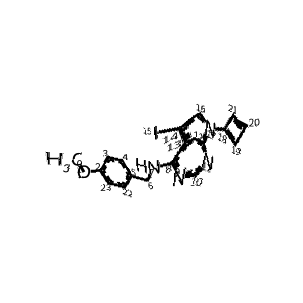 COc1ccc(CNc2ncnc3c2c(I)cn3C2=CC=C2)cc1